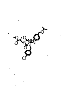 COC(=O)[C@@H](C)Cn1c(=O)[nH]/c(=N\c2ccc(COC(C)C)cc2)n(Cc2ccc(Cl)cc2)c1=O